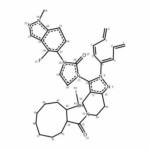 C=C/C=C\C(=C/C=C)n1nc2c(c1-n1ccn(-c3ccc4c(cnn4C)c3F)c1=O)CN(C(=O)C1CCCCCCCC1BI)CC2